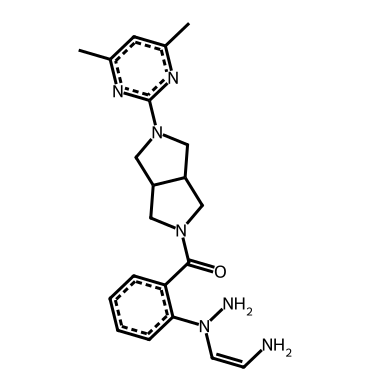 Cc1cc(C)nc(N2CC3CN(C(=O)c4ccccc4N(N)/C=C\N)CC3C2)n1